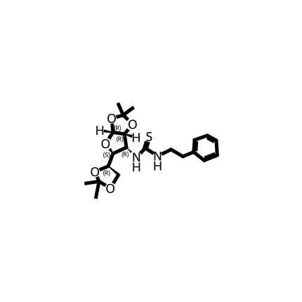 CC1(C)O[C@H]2O[C@H]([C@H]3COC(C)(C)O3)[C@@H](NC(=S)NCCc3ccccc3)[C@H]2O1